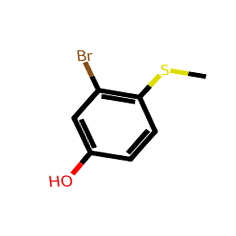 CSc1ccc(O)cc1Br